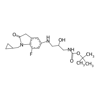 CC(C)(C)OC(=O)NCC(O)CNc1cc(F)c2c(c1)CC(=O)N2CC1CC1